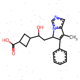 CC1=C(c2ccccc2)C(CC(O)C2CC(C(=O)O)C2)n2cncc21